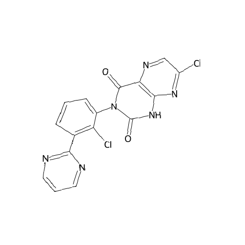 O=c1[nH]c2nc(Cl)cnc2c(=O)n1-c1cccc(-c2ncccn2)c1Cl